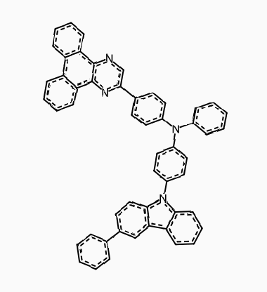 c1ccc(-c2ccc3c(c2)c2ccccc2n3-c2ccc(N(c3ccccc3)c3ccc(-c4cnc5c6ccccc6c6ccccc6c5n4)cc3)cc2)cc1